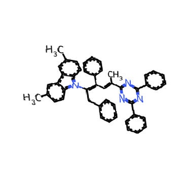 C/C(=C\C(=C(/Cc1ccccc1)n1c2ccc(C)cc2c2cc(C)ccc21)c1ccccc1)c1nc(-c2ccccc2)nc(-c2ccccc2)n1